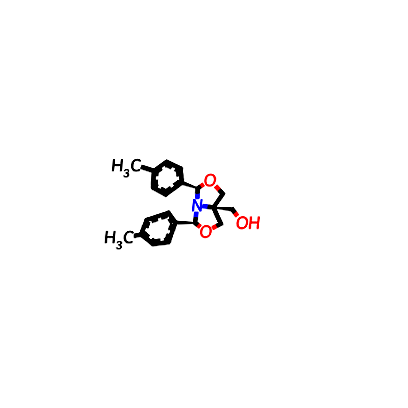 Cc1ccc([C@H]2OC[C@]3(CO)CO[C@@H](c4ccc(C)cc4)N23)cc1